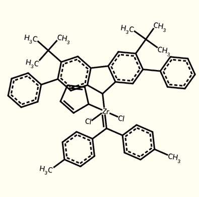 Cc1ccc([C](c2ccc(C)cc2)=[Zr]([Cl])([Cl])([CH]2C=CC=C2)[CH]2c3cc(-c4ccccc4)c(C(C)(C)C)cc3-c3cc(C(C)(C)C)c(-c4ccccc4)cc32)cc1